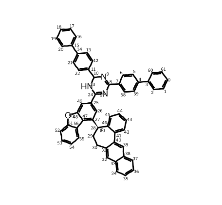 c1ccc(-c2ccc(C3=NC(c4ccc(-c5ccccc5)cc4)NC(c4cc([C@@H]5CCc6cc7ccccc7cc6-c6ccccc65)c5c(c4)oc4ccccc45)=N3)cc2)cc1